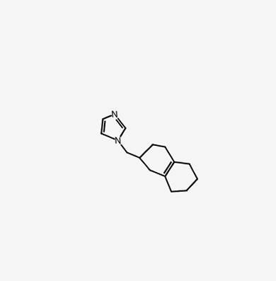 c1cn(CC2CCC3=C(CCCC3)C2)cn1